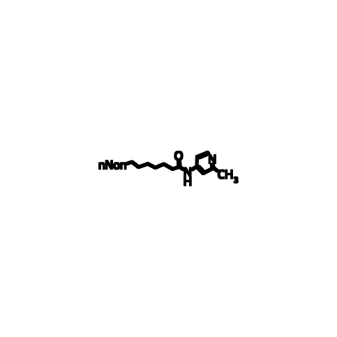 CCCCCCCCCCCCCCCC(=O)Nc1ccnc(C)c1